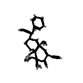 CC1(C)C(=O)C(C#N)=C[C@]2(C)CN(C(=O)c3cncnc3)CC[C@@H]12